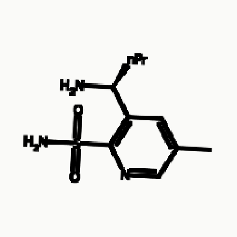 CCC[C@H](N)c1cc(C)cnc1S(N)(=O)=O